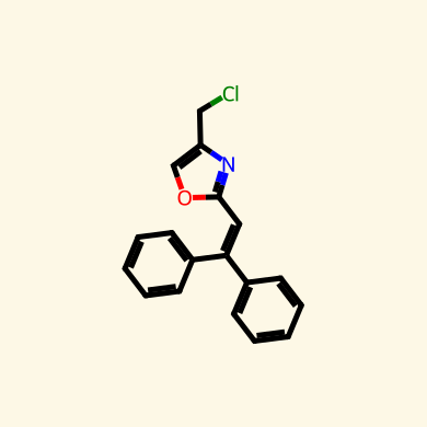 ClCc1coc(C=C(c2ccccc2)c2ccccc2)n1